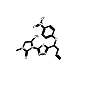 C=CCC(Oc1ccc([N+](=O)[O-])cc1)c1nnc(N2C(=O)N(C)CC2O)s1